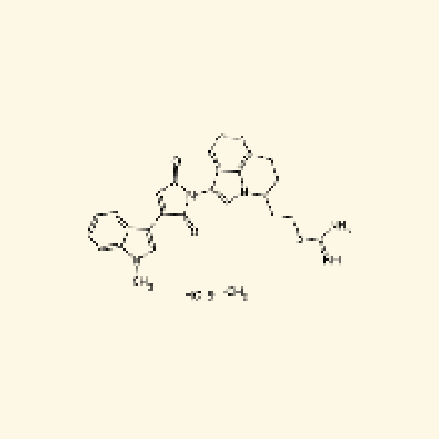 CS(=O)(=O)O.Cn1cc(C2=CC(=O)N(c3cn4c5c(cccc35)CCC4CCSC(=N)N)C2=O)c2ccccc21